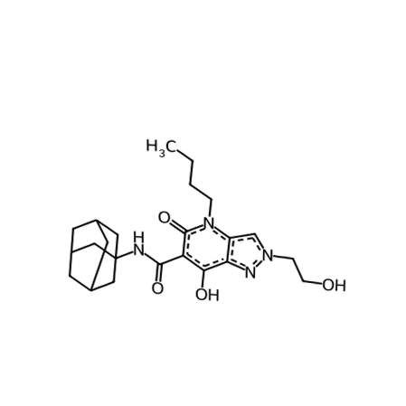 CCCCn1c(=O)c(C(=O)NC23CC4CC(CC(C4)C2)C3)c(O)c2nn(CCO)cc21